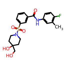 Cc1cc(NC(=O)c2cccc(S(=O)(=O)N3CCC(O)(CO)CC3)c2)ccc1F